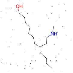 CCCCC(CCCCCCCO)CCNC